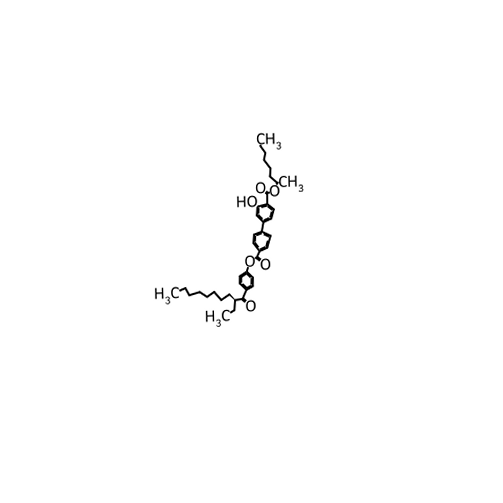 CCCCCCCC[C@H](CC)C(=O)c1ccc(OC(=O)c2ccc(-c3ccc(C(=O)O[C@H](C)CCCCCC)c(O)c3)cc2)cc1